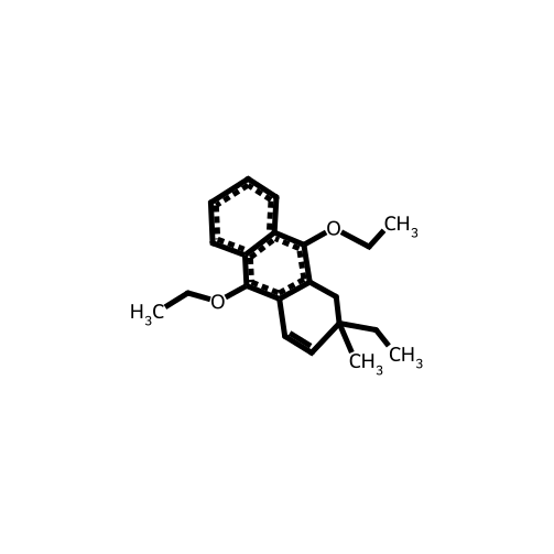 CCOc1c2c(c(OCC)c3ccccc13)CC(C)(CC)C=C2